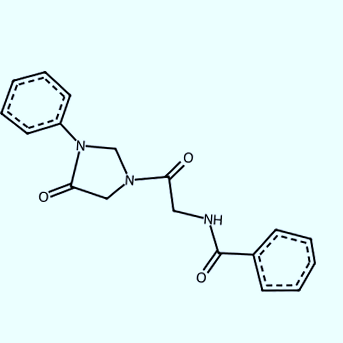 O=C(NCC(=O)N1CC(=O)N(c2ccccc2)C1)c1ccccc1